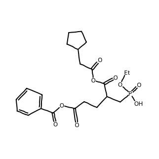 CCOP(=O)(O)CC(CCC(=O)OC(=O)c1ccccc1)C(=O)OC(=O)CC1CCCC1